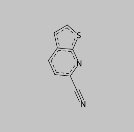 N#Cc1ccc2ccsc2n1